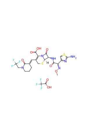 CO/N=C(\C(=O)N[C@@H]1C(=O)N2C(C(=O)O)=C(/C=C3\CCCN(CC(F)(F)F)C3=O)CS[C@H]12)c1csc(N)n1.O=C(O)C(F)(F)F